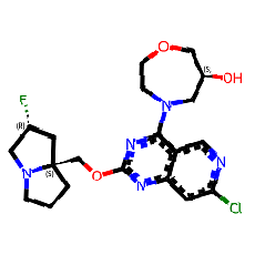 O[C@@H]1COCCN(c2nc(OC[C@@]34CCCN3C[C@H](F)C4)nc3cc(Cl)ncc23)C1